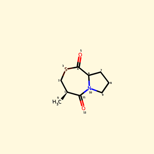 C[C@H]1CSC(=O)C2CCCN2C1=O